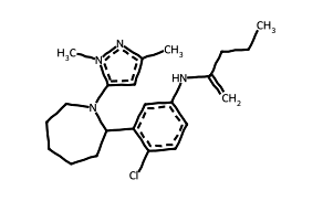 C=C(CCC)Nc1ccc(Cl)c(C2CCCCCN2c2cc(C)nn2C)c1